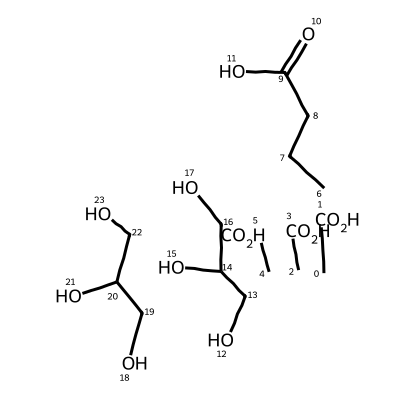 CC(=O)O.CC(=O)O.CC(=O)O.CCCC(=O)O.OCC(O)CO.OCC(O)CO